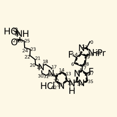 Cc1nc2c(F)cc(-c3nc(Nc4ccc(N5CCN(CCCCCCC(=O)NO)CC5)cn4)ncc3F)cc2n1C(C)C.Cl